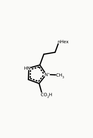 CCCCCCCCc1[nH]cc(C(=O)O)[n+]1C